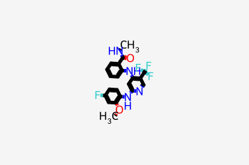 CNC(=O)c1ccccc1Nc1cc(Nc2ccc(F)cc2OC)ncc1C(F)(F)F